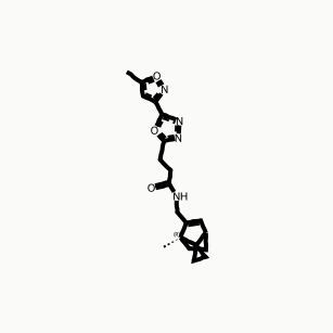 Cc1cc(-c2nnc(CCC(=O)NCC3=CC4CC[C@]3(C)C43CC3)o2)no1